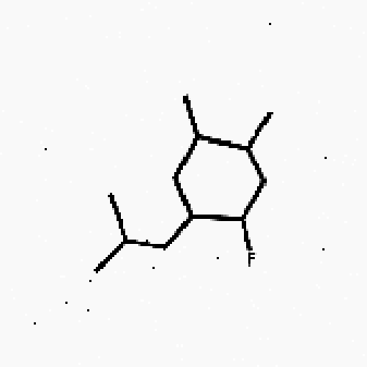 CC(C)CC1CC(C)C(C)CC1F